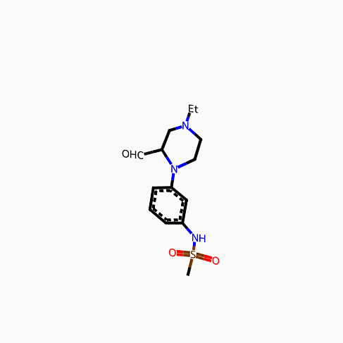 CCN1CCN(c2cccc(NS(C)(=O)=O)c2)C(C=O)C1